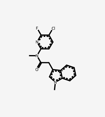 CN(C(=O)Cc1cn(C)c2ccccc12)c1ccc(Cl)c(F)n1